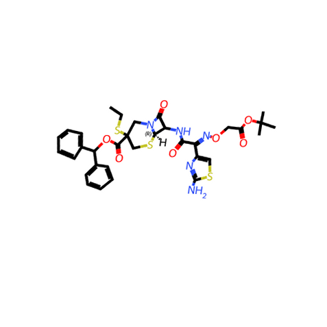 CCSC1(C(=O)OC(c2ccccc2)c2ccccc2)CS[C@@H]2C(NC(=O)C(=NOCC(=O)OC(C)(C)C)c3csc(N)n3)C(=O)N2C1